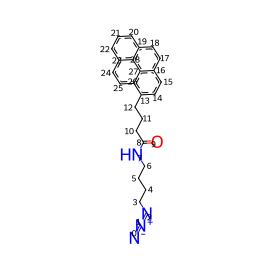 [N-]=[N+]=NCCCCNC(=O)CCCc1ccc2ccc3cccc4ccc1c2c34